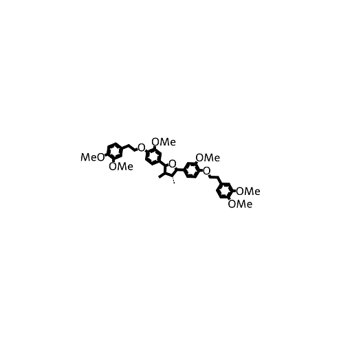 COc1ccc(CCOc2ccc(C3OC(c4ccc(OCCc5ccc(OC)c(OC)c5)c(OC)c4)[C@H](C)C3C)cc2OC)cc1OC